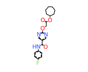 O=C(COc1ncc(C(=O)Nc2ccc(F)cc2)cn1)OC1CCCCCC1